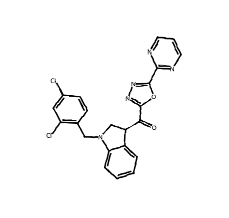 O=C(c1nnc(-c2ncccn2)o1)C1CN(Cc2ccc(Cl)cc2Cl)c2ccccc21